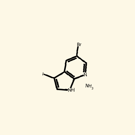 Brc1cnc2[nH]cc(I)c2c1.N